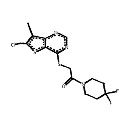 Cc1c(Cl)sc2c(SCC(=O)N3CCC(F)(F)CC3)ncnc12